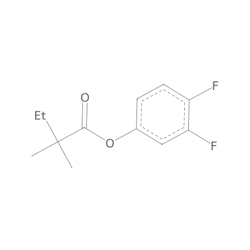 CCC(C)(C)C(=O)Oc1ccc(F)c(F)c1